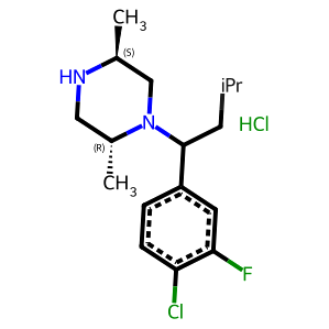 CC(C)CC(c1ccc(Cl)c(F)c1)N1C[C@H](C)NC[C@H]1C.Cl